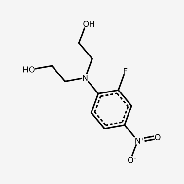 O=[N+]([O-])c1ccc(N(CCO)CCO)c(F)c1